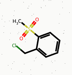 CS(=O)(=O)c1ccccc1CCl